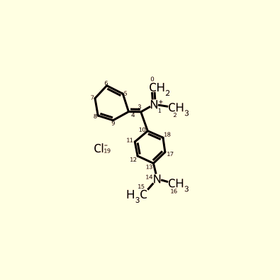 C=[N+](C)C(=C1C=CCC=C1)c1ccc(N(C)C)cc1.[Cl-]